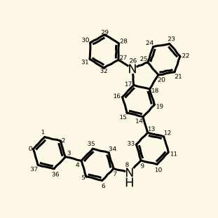 c1ccc(-c2ccc(Nc3cccc(-c4ccc5c(c4)c4ccccc4n5-c4ccccc4)c3)cc2)cc1